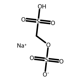 O=S(=O)(O)COS(=O)(=O)[O-].[Na+]